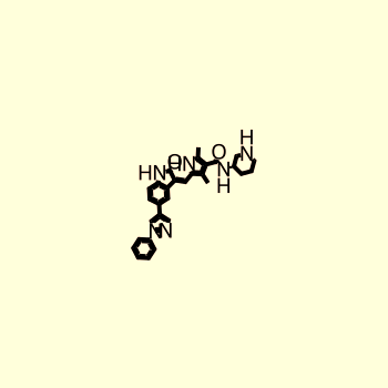 Cc1[nH]c(/C=C2\C(=O)Nc3ccc(-c4cnn(-c5ccccc5)c4)cc32)c(C)c1C(=O)N[C@@H]1CCCNC1